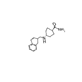 NC(=O)[C@H]1CC[C@H](NCC2CCc3ccccc3C2)CC1